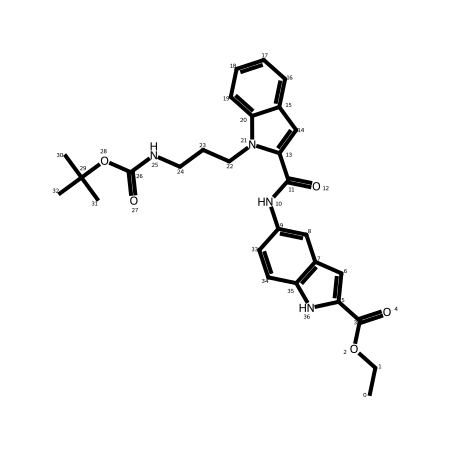 CCOC(=O)c1cc2cc(NC(=O)c3cc4ccccc4n3CCCNC(=O)OC(C)(C)C)ccc2[nH]1